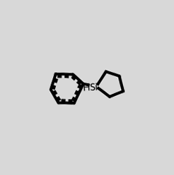 c1ccc([SiH]2CCCC2)cc1